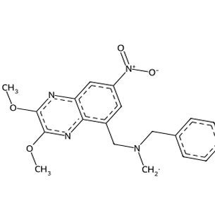 [CH2]N(Cc1ccccc1)Cc1cc([N+](=O)[O-])cc2nc(OC)c(OC)nc12